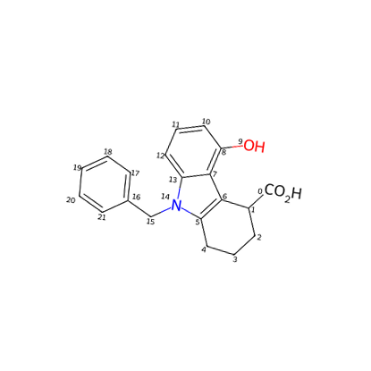 O=C(O)C1CCCc2c1c1c(O)cccc1n2Cc1ccccc1